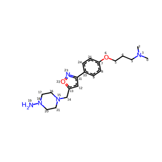 CN(C)CCCOc1ccc(-c2cc(CN3CCN(N)CC3)on2)cc1